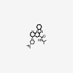 CC(C)NC(=O)c1cc2c(N3CC[C@H](N(C)C)C3)ccnc2n2c1nc1ccccc12